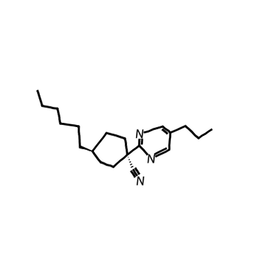 CCCCCC[C@H]1CC[C@@](C#N)(c2ncc(CCC)cn2)CC1